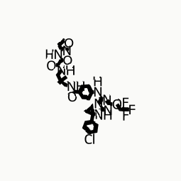 CC(C)(CNC(=O)C(=O)Nc1ccon1)CNC(=O)c1ccc(Nc2nc(NC3(c4ccc(Cl)cc4)CC3)nc(OCC(F)(F)F)n2)cc1